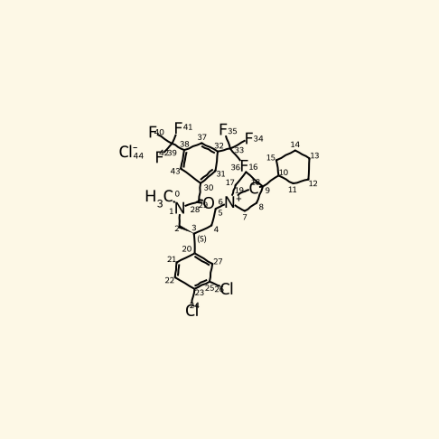 CN(C[C@@H](CC[N+]12CCC(C3CCCCC3)(CC1)CC2)c1ccc(Cl)c(Cl)c1)C(=O)c1cc(C(F)(F)F)cc(C(F)(F)F)c1.[Cl-]